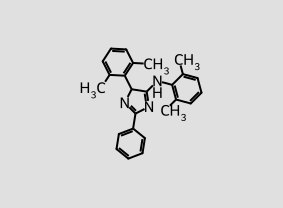 Cc1cccc(C)c1NC1=NC(c2ccccc2)=NC1c1c(C)cccc1C